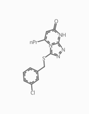 CCCc1cc(=O)[nH]c2nnc(SCc3cccc(Cl)c3)n12